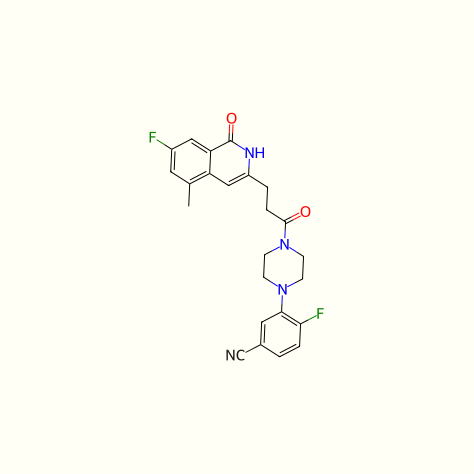 Cc1cc(F)cc2c(=O)[nH]c(CCC(=O)N3CCN(c4cc(C#N)ccc4F)CC3)cc12